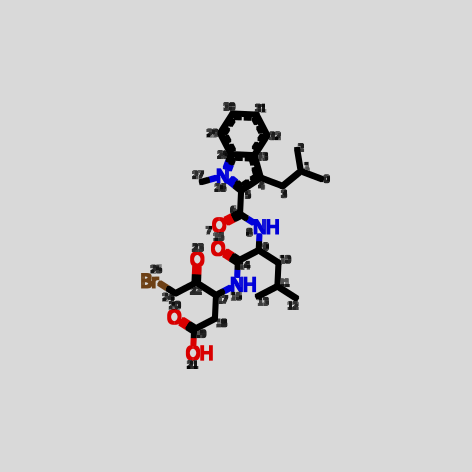 CC(C)Cc1c(C(=O)NC(CC(C)C)C(=O)NC(CC(=O)O)C(=O)CBr)n(C)c2ccccc12